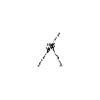 CCCCCCCCCCCC(=O)NC(CCC(=O)OCCCCCCCCCCCCCCCC(C)C)C(=O)OCCCCCCCCCCCCCCCC(C)C